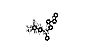 Bc1c(B)c(B)c(-c2ccc(-c3nc(-c4ccccc4)nc(-c4cccc5c4oc4cccc(-c6cccc7c6sc6ccccc67)c45)n3)cc2)c(B)c1B